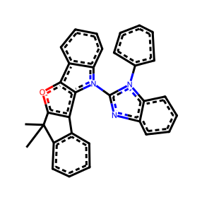 CC1(C)c2ccccc2-c2c1oc1c3ccccc3n(-c3nc4ccccc4n3-c3ccccc3)c21